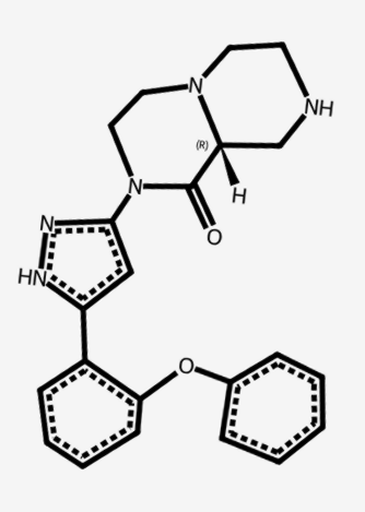 O=C1[C@H]2CNCCN2CCN1c1cc(-c2ccccc2Oc2ccccc2)[nH]n1